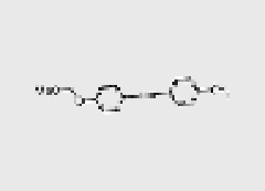 COCOc1ccc(C#Cc2ccc(C)cc2)cc1